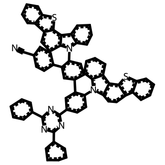 N#Cc1ccc(-c2cc(-c3cc(-c4nc(-c5ccccc5)nc(-c5ccccc5)n4)ccc3-n3c4ccccc4c4c5sc6ccccc6c5ccc43)ccc2-n2c3ccccc3c3c4sc5ccccc5c4ccc32)cc1